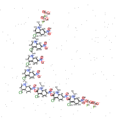 CC[n+]1ccc(Cl)c2ccc([N+](=O)[O-])cc21.CC[n+]1ccc(Cl)c2ccc([N+](=O)[O-])cc21.CC[n+]1ccc(Cl)c2ccc([N+](=O)[O-])cc21.CC[n+]1ccc(Cl)c2ccc([N+](=O)[O-])cc21.CC[n+]1ccc(Cl)c2ccc([N+](=O)[O-])cc21.CC[n+]1ccc(Cl)c2ccc([N+](=O)[O-])cc21.CC[n+]1ccc(Cl)c2ccc([N+](=O)[O-])cc21.CC[n+]1ccc(Cl)c2ccc([N+](=O)[O-])cc21.[O-]B([O-])F.[O-]B([O-])F.[O-]B([O-])F.[O-]B([O-])F